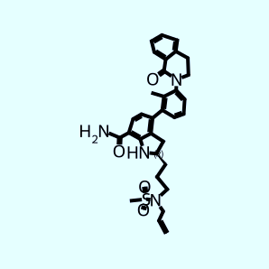 C=CCN(CCC[C@@H]1Cc2c(-c3cccc(N4CCc5ccccc5C4=O)c3C)ccc(C(N)=O)c2N1)S(C)(=O)=O